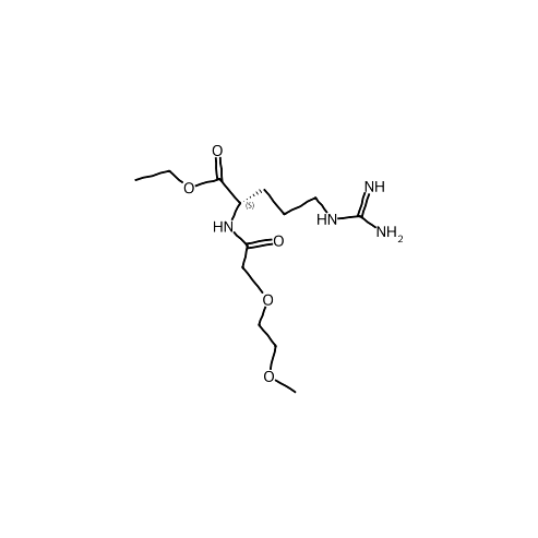 CCOC(=O)[C@H](CCCNC(=N)N)NC(=O)COCCOC